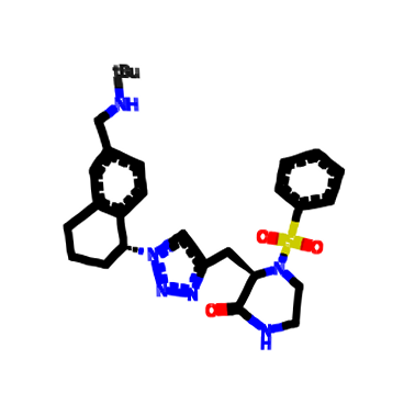 CC(C)(C)NCc1ccc2c(c1)CCC[C@H]2n1cc(C[C@@H]2C(=O)NCCN2S(=O)(=O)c2ccccc2)nn1